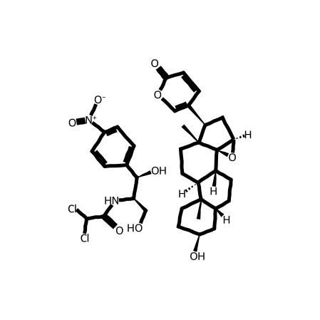 C[C@]12CC[C@H](O)C[C@H]1CC[C@@H]1[C@@H]2CC[C@]2(C)[C@@H](c3ccc(=O)oc3)C[C@H]3O[C@]132.O=C(N[C@H](CO)[C@H](O)c1ccc([N+](=O)[O-])cc1)C(Cl)Cl